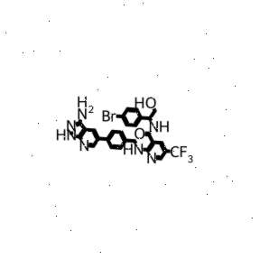 Nc1n[nH]c2ncc(-c3ccc(CNc4ncc(C(F)(F)F)cc4C(=O)NC(CO)c4ccc(Br)cc4)cc3)cc12